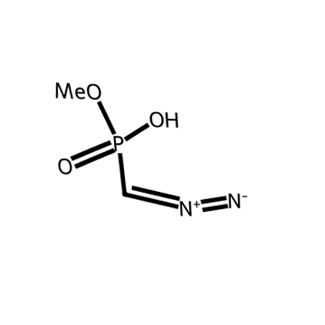 COP(=O)(O)C=[N+]=[N-]